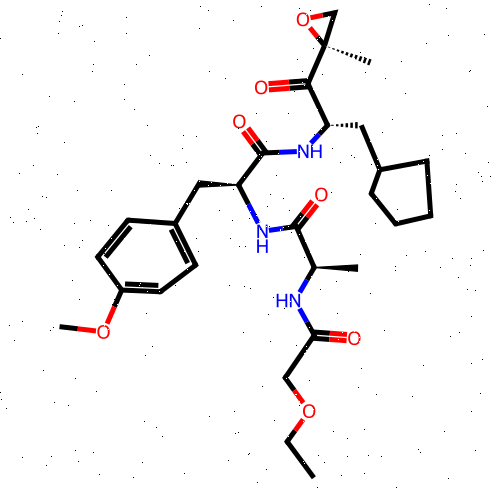 CCOCC(=O)N[C@H](C)C(=O)N[C@@H](Cc1ccc(OC)cc1)C(=O)N[C@@H](CC1CCCC1)C(=O)[C@]1(C)CO1